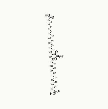 O=C(O)CCCCCCCCCCCCCCCC(CCCCCCCCCCCCCCCC(=O)O)C(=O)C(O)O